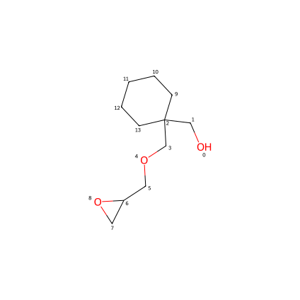 OCC1(COCC2CO2)CCCCC1